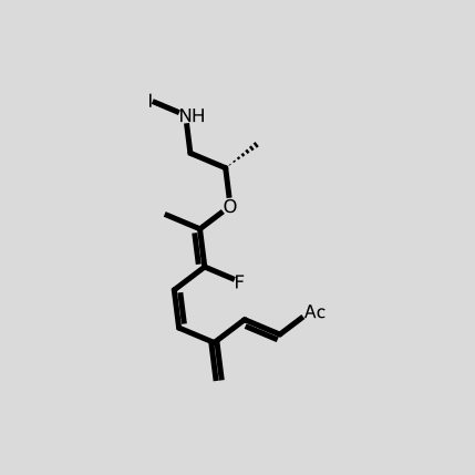 C=C(/C=C\C(F)=C(/C)O[C@@H](C)CNI)/C=C/C(C)=O